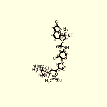 CCCCCCCC(C)(C)[Si](C)(C)OCC(O[Si](C)(C)C(C)(C)C)c1cnn(-c2ncc(NC(=O)N3C[C@@](C)(C(F)(F)F)c4c3ccc3cc(Cl)nn43)cc2Cl)n1